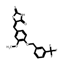 COc1cc(C=C2SC(=S)NC2=O)ccc1OCc1cccc(C(F)(F)F)c1